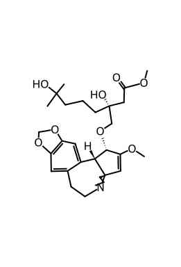 COC(=O)C[C@](O)(CCCC(C)(C)O)CO[C@@H]1C(OC)=C[C@]23CCCN2CCc2cc4c(cc2[C@H]13)OCO4